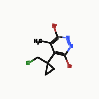 Cc1c(Br)nnc(Br)c1C1(CCl)CC1